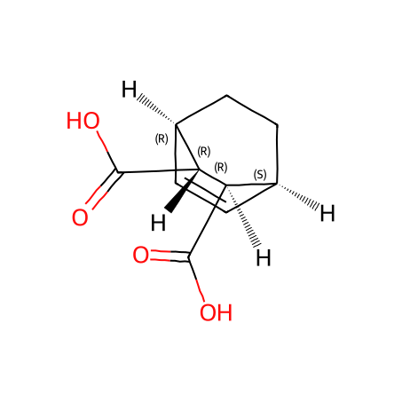 O=C(O)[C@H]1[C@H](C(=O)O)[C@H]2C=C[C@@H]1CC2